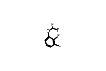 Fc1c[c]cc(OC(F)F)c1F